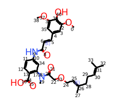 COc1cc(/C=C/C(=O)Nc2ccc(C(=O)O)c(N(C)C(=O)COC/C=C(\C)CCC=C(C)C)c2)cc(OC)c1O